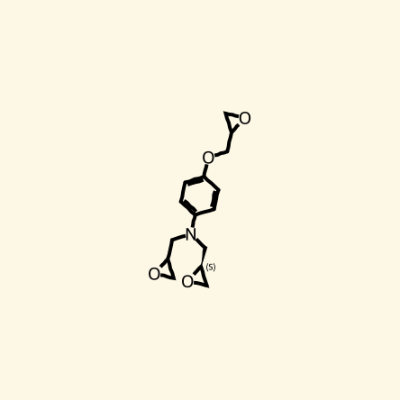 c1cc(N(CC2CO2)C[C@H]2CO2)ccc1OCC1CO1